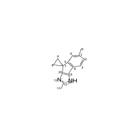 Cc1ccc2c(c1)C1(CC1)c1nc(C)[nH]c1-2